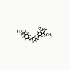 CCc1c[nH]c(=O)c2ccc(OC3CCN(Cc4ccc(C(C)(F)F)cc4)CC3)cc12